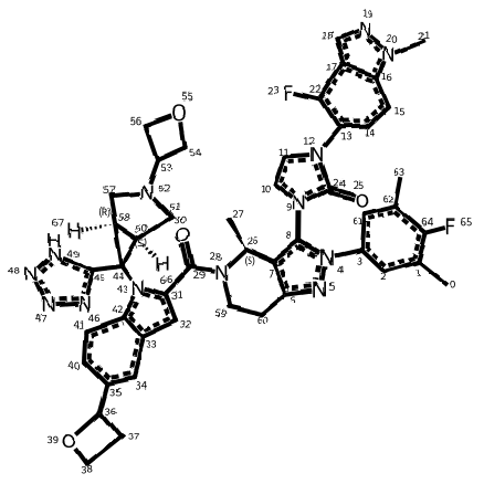 Cc1cc(-n2nc3c(c2-n2ccn(-c4ccc5c(cnn5C)c4F)c2=O)[C@H](C)N(C(=O)c2cc4cc(C5CCO5)ccc4n2C2(c4nnn[nH]4)[C@@H]4CN(C5COC5)C[C@@H]42)CC3)cc(C)c1F